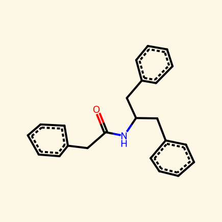 O=C(Cc1ccccc1)NC(Cc1ccccc1)Cc1ccccc1